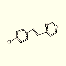 Clc1ccc(C=Cc2ccncn2)cc1